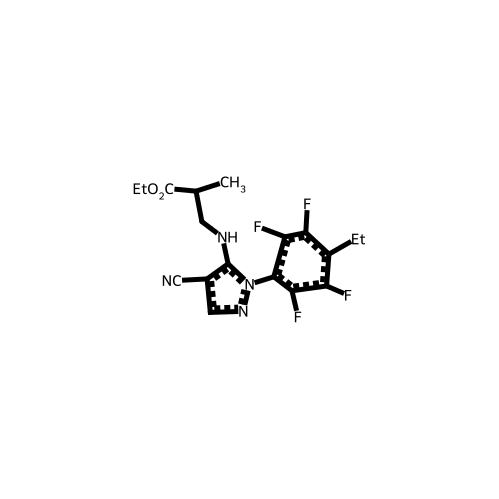 CCOC(=O)C(C)CNc1c(C#N)cnn1-c1c(F)c(F)c(CC)c(F)c1F